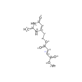 C=C1NC(=O)C=C(CCOC(=O)/C=C/C(=O)OC(C)C)N1